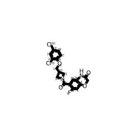 O=C1COc2cc(F)c(C(=O)N3CC(COc4ccc(Cl)cc4Cl)C3)cc2N1